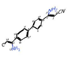 N#CC=C(N)c1ccc(-c2ccc(C(N)=CC#N)cc2)cc1